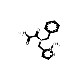 Cn1nccc1CN(Cc1ccccc1)C(=O)C(N)=O